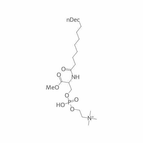 CCCCCCCCCCCCCCCCCC(=O)NC(COP(=O)(O)OCC[N+](C)(C)C)C(=O)OC